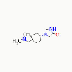 CN(C)CC1CCC(N2CNC(=O)C2)CC1